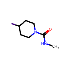 CNC(=O)N1CCC(I)CC1